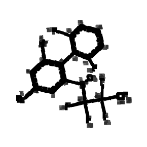 [O-][S+](c1cc(Br)[c]c(Br)c1-c1c(F)cccc1F)C(F)(F)C(F)(F)C(F)(F)F